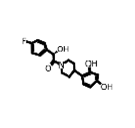 O=C([C@H](O)c1ccc(F)cc1)N1CCC(c2ccc(O)cc2O)CC1